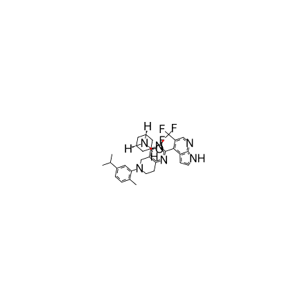 CO[C@@H]1C[C@@H]2C[C@H](C1)N2c1nc(-c2c(C(F)(F)F)cnc3[nH]ccc23)nc2c1CN(c1cc(C(C)C)ccc1C)CC2